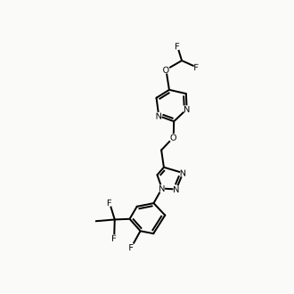 CC(F)(F)c1cc(-n2cc(COc3ncc(OC(F)F)cn3)nn2)ccc1F